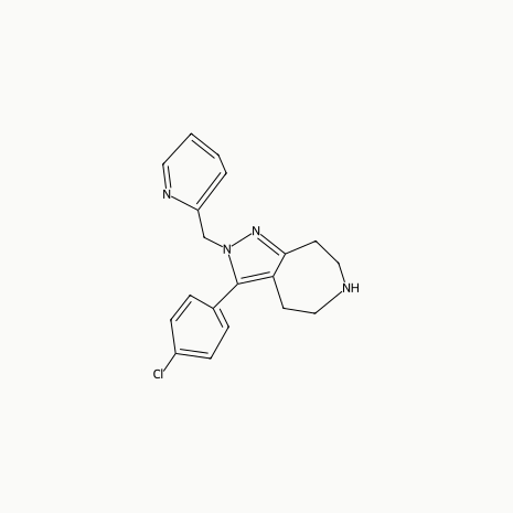 Clc1ccc(-c2c3c(nn2Cc2ccccn2)CCNCC3)cc1